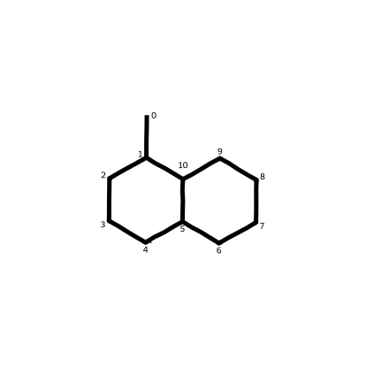 CC1CC[CH]C2CCCCC12